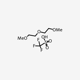 COCCOCCOC.O=S(=O)(O)C(F)(F)F